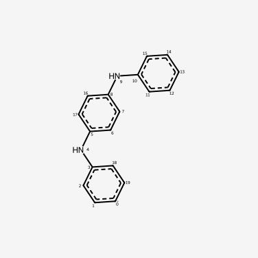 [c]1ccc(Nc2ccc(Nc3ccccc3)cc2)cc1